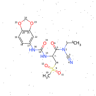 CCN(C#N)C(=O)C(CS(C)(=O)=O)NC(=O)Nc1ccc2c(c1)OCO2